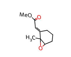 COC(=O)C=C1CCCC2OC12C